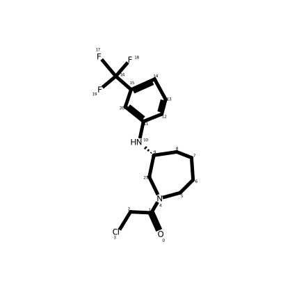 O=C(CCl)N1CCCC[C@@H](Nc2cccc(C(F)(F)F)c2)C1